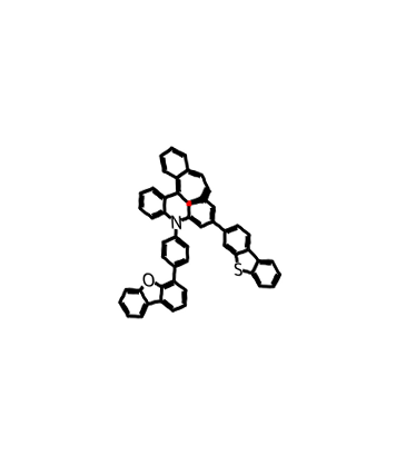 C1#CCC(c2ccccc2N(C2=CC(c3ccc4c(c3)sc3ccccc34)=CCC2)c2ccc(-c3cccc4c3oc3ccccc34)cc2)=c2ccccc2=C1